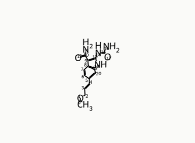 COCC=Cc1ccc2c(C(N)=O)c(NC(N)=O)[nH]c2c1